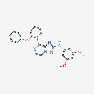 COc1cc(Nc2nc3c(-c4ccccc4Oc4ccccc4)nccn3n2)cc(OC)c1